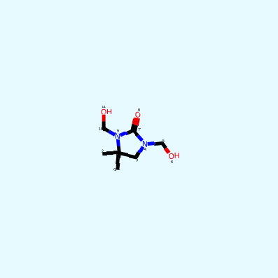 CC1(C)CN(CO)C(=O)N1CO